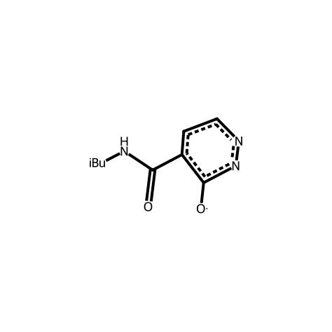 CCC(C)NC(=O)c1ccnnc1[O]